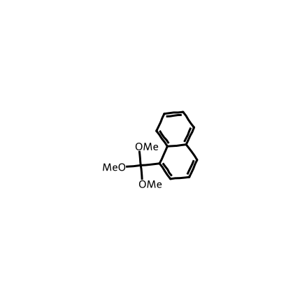 COC(OC)(OC)c1cccc2ccccc12